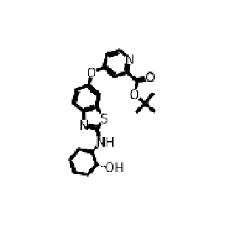 CC(C)(C)OC(=O)c1cc(Oc2ccc3nc(N[C@@H]4CCCC[C@H]4O)sc3c2)ccn1